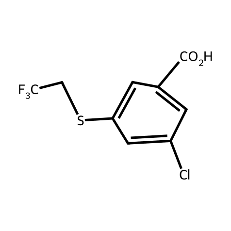 O=C(O)c1cc(Cl)cc(SCC(F)(F)F)c1